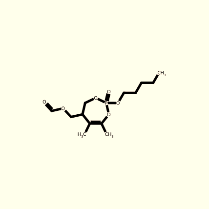 CCCCCOP1(=O)OCC(COC=O)C(C)=C(C)O1